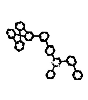 c1ccc(-c2cccc(-c3cc(-c4ccc(-c5cccc(-c6ccc7c(c6)-c6ccccc6C76c7ccccc7-c7ccccc76)c5)cc4)nc(-c4ccccc4)n3)c2)cc1